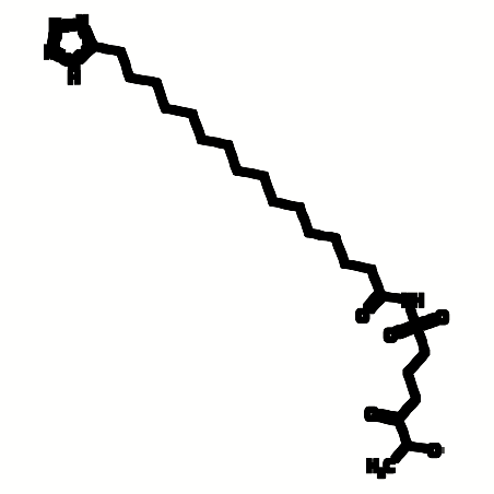 CC([O])C(=O)CCCS(=O)(=O)NC(=O)CCCCCCCCCCCCCCCc1nnn[nH]1